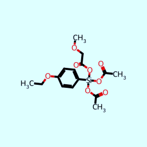 CCOc1ccc([Si](OC(C)=O)(OC(C)=O)OC(=O)COC)cc1